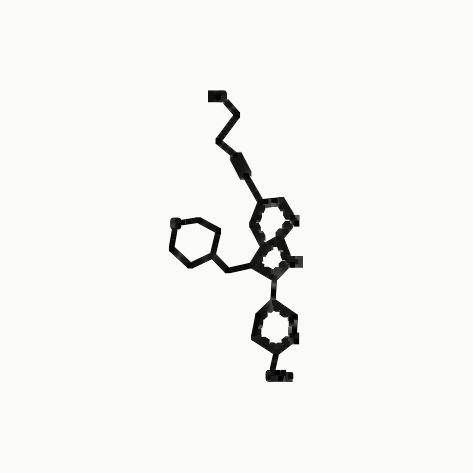 COc1ccc(-c2[nH]c3ncc(C#CCCO)cc3c2CC2CCOCC2)cn1